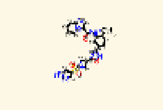 Cc1ccc(-c2noc(C3CN(S(=O)(=O)c4cn[nH]c4)C3)n2)cc1NC(=O)c1cnc2ccccn12